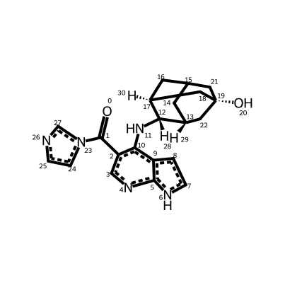 O=C(c1cnc2[nH]ccc2c1N[C@H]1[C@@H]2CC3C[C@H]1C[C@@](O)(C3)C2)n1ccnc1